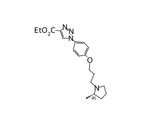 CCOC(=O)c1cn(-c2ccc(OCCCN3CCC[C@H]3C)cc2)nn1